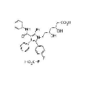 CC(C)c1c(C(=O)Nc2ccccc2)c(-c2ccccc2)c(-c2ccc(F)cc2)n1CCC(O)CC(O)CC(=O)O.O=C(O)F